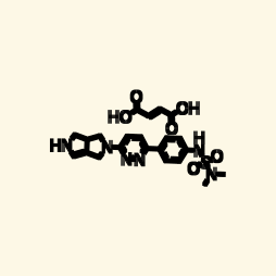 CN(C)S(=O)(=O)Nc1ccc(-c2ccc(N3CC4=CNCC4C3)nn2)cc1.O=C(O)C=CC(=O)O